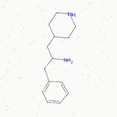 NC(Cc1ccccc1)CC1CCNCC1